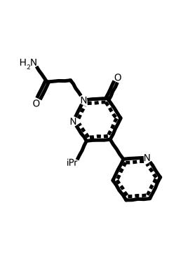 CC(C)c1nn(CC(N)=O)c(=O)cc1-c1ccccn1